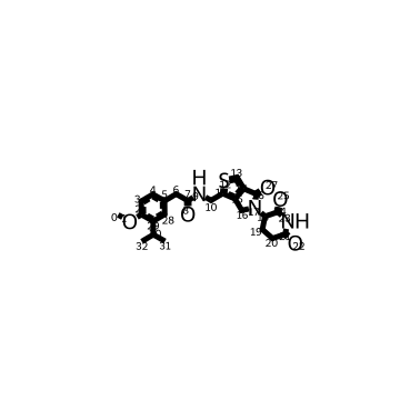 COc1ccc(CC(=O)NCc2scc3c2CN(C2CCC(=O)NC2=O)C3=O)cc1C(C)C